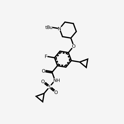 CC(C)(C)N1CCCC(Oc2cc(F)c(C(=O)NS(=O)(=O)C3CC3)cc2C2CC2)C1